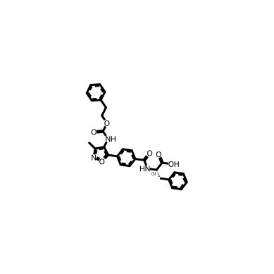 Cc1noc(-c2ccc(C(=O)N[C@@H](Cc3ccccc3)C(=O)O)cc2)c1NC(=O)OCCc1ccccc1